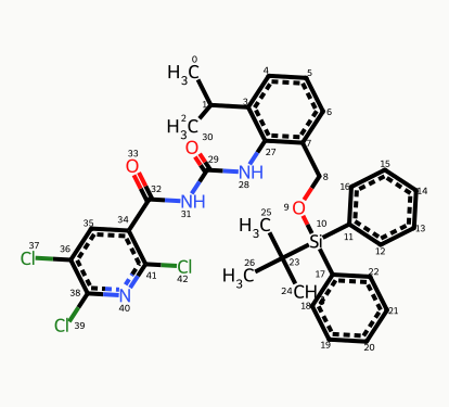 CC(C)c1cccc(CO[Si](c2ccccc2)(c2ccccc2)C(C)(C)C)c1NC(=O)NC(=O)c1cc(Cl)c(Cl)nc1Cl